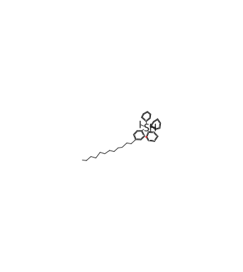 CCCCCCCCCCCCc1ccc([SH](I)(c2ccccc2)(c2ccccc2)c2ccccc2)cc1